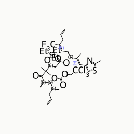 C=CC/C(=C\C[C@H](OC(=O)C[C@H](O[Si](CC)(CC)CC)C(C)(C)C(=O)[C@H](C)[C@@H](OC(=O)OCC(Cl)(Cl)Cl)[C@@H](C)CC=C)/C(C)=C/c1csc(C)n1)C(F)(F)F